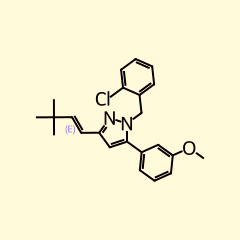 COc1cccc(-c2cc(/C=C/C(C)(C)C)nn2Cc2ccccc2Cl)c1